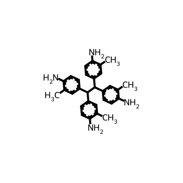 Cc1cc(C(c2ccc(N)c(C)c2)C(c2ccc(N)c(C)c2)c2ccc(N)c(C)c2)ccc1N